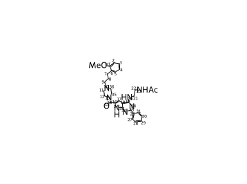 COc1ccccc1CCCN1CCN(C(=O)c2cc3c(NCCNC(C)=O)nc(-c4ccccc4)nc3[nH]2)CC1